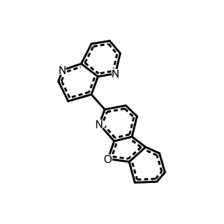 c1cnc2c(-c3ccc4c(n3)oc3ccccc34)ccnc2c1